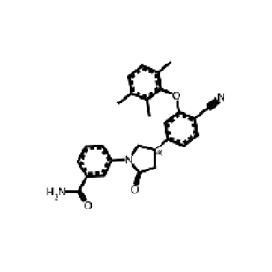 Cc1ccc(C)c(Oc2cc([C@H]3CC(=O)N(c4cccc(C(N)=O)c4)C3)ccc2C#N)c1C